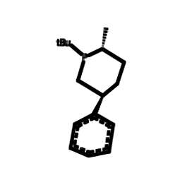 C[C@@H]1CC[C@@H](c2ccccc2)CP1C(C)(C)C